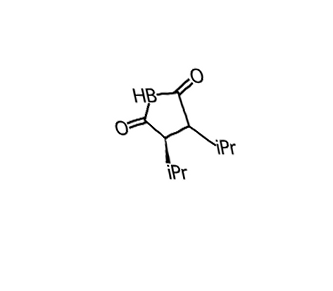 CC(C)C1C(=O)BC(=O)[C@@H]1C(C)C